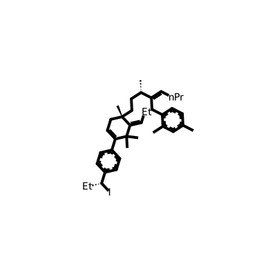 CC/C=C1/C(C)(C)C(c2ccc([C@H](I)CC)cc2)=CC[C@]1(C)CC[C@H](C)/C(=C/CCC)Cc1ccc(C)cc1C